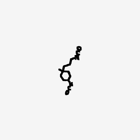 CC1(CCCN=C=O)CCC(N=C=O)CC1